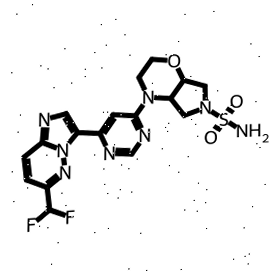 NS(=O)(=O)N1CC2OCCN(c3cc(-c4cnc5ccc(C(F)F)nn45)ncn3)C2C1